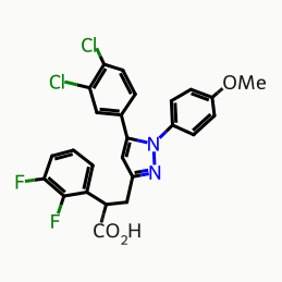 COc1ccc(-n2nc(CC(C(=O)O)c3cccc(F)c3F)cc2-c2ccc(Cl)c(Cl)c2)cc1